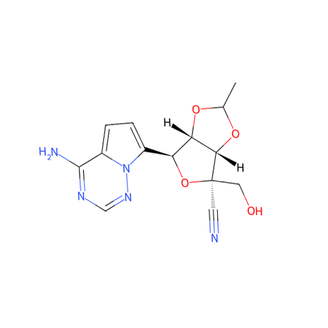 CC1O[C@H]2[C@H](c3ccc4c(N)ncnn34)O[C@](C#N)(CO)[C@H]2O1